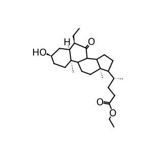 CCOC(=O)CC[C@@H](C)C1CCC2C3C(=O)[C@H](CC)[C@@H]4C[C@H](O)CC[C@]4(C)C3CC[C@@]21C